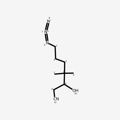 CC(C)(CCCN=[N+]=[N-])C(O)CC#N